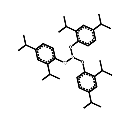 CC(C)c1ccc(OP(Oc2ccc(C(C)C)cc2C(C)C)Oc2ccc(C(C)C)cc2C(C)C)c(C(C)C)c1